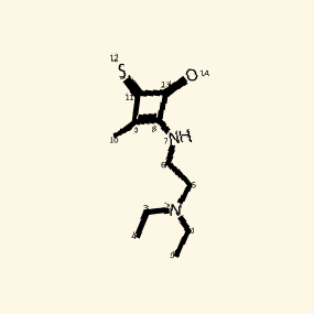 CCN(CC)CCNc1c(C)c(=S)c1=O